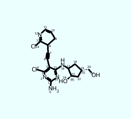 Nc1nc(Cl)c(C#CC2CC=CN=C2Cl)c(NC2C[C@H](CO)C[C@H]2O)n1